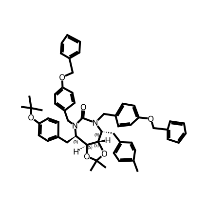 Cc1ccc(C[C@@H]2[C@@H]3OC(C)(C)O[C@H]3[C@@H](Cc3ccc(OC(C)(C)C)cc3)N(Cc3ccc(OCc4ccccc4)cc3)C(=O)N2Cc2ccc(OCc3ccccc3)cc2)cc1